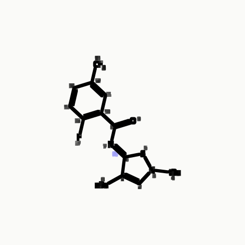 CCCCc1cn(C(C)(C)C)s/c1=N\C(=O)c1cc(C(F)(F)F)ccc1F